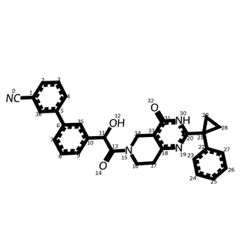 N#Cc1cccc(-c2cccc(C(O)C(=O)N3CCc4nc(C5(c6ccccc6)CC5)[nH]c(=O)c4C3)c2)c1